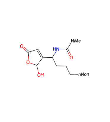 CCCCCCCCCCCCC(NC(=O)NC)C1=CC(=O)OC1O